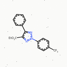 CCOC(=O)c1nn(-c2ccc(C(F)(F)F)cc2)nc1-c1ccccc1